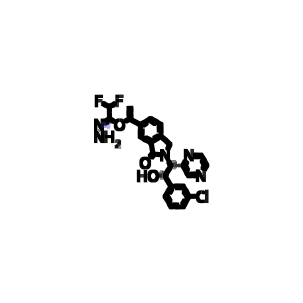 C=C(O/C(=N\N)C(F)F)c1ccc2c(c1)C(=O)N([C@H](c1cnccn1)[C@@H](O)c1cccc(Cl)c1)C2